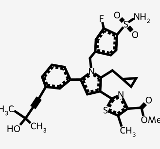 COC(=O)c1nc(-c2cc(-c3cccc(C#CC(C)(C)O)c3)n(Cc3ccc(S(N)(=O)=O)c(F)c3)c2CC2CC2)sc1C